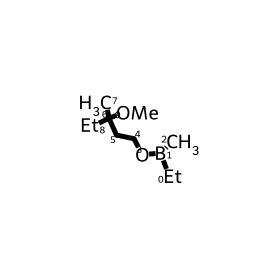 CCB(C)OCCC(C)(CC)OC